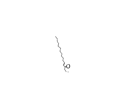 [CH2]CC(=O)C=CCCCCCCCCCCC